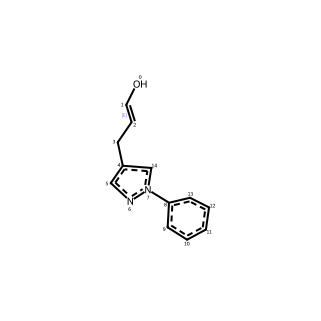 O/C=C/Cc1cnn(-c2ccccc2)c1